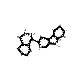 c1ccc2c(-c3cc4c(cn3)oc3ccccc34)nncc2c1